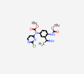 CC(=N)c1cc(N(C(=O)OC(C)(C)C)c2ccnc(Cl)n2)ccc1NC(=O)OC(C)(C)C